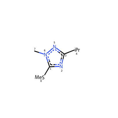 CSc1nc(C(C)C)nn1C